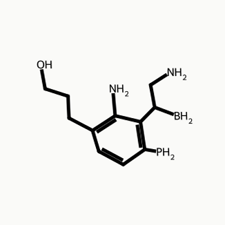 BC(CN)c1c(P)ccc(CCCO)c1N